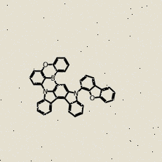 c1ccc2c(c1)Oc1cccc3c1B2c1cc2c(c4ccccc4n2-c2cccc4c2oc2ccccc24)c2c4ccccc4n-3c12